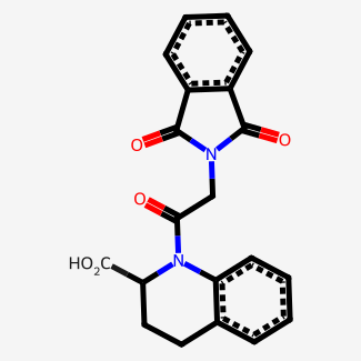 O=C(O)C1CCc2ccccc2N1C(=O)CN1C(=O)c2ccccc2C1=O